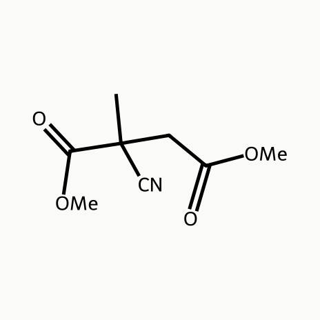 COC(=O)CC(C)(C#N)C(=O)OC